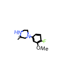 COc1cc(N2CCN[C@H](C)C2)ccc1F